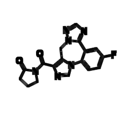 O=C1CCCN1C(=O)c1ncn2c1Cn1ncnc1-c1cc(F)ccc1-2